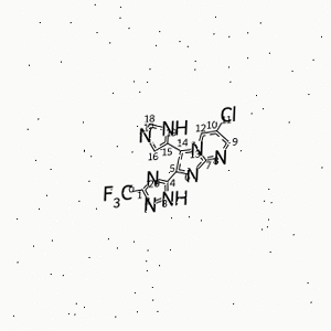 FC(F)(F)c1n[nH]c(-c2nc3ncc(Cl)cn3c2-c2cnc[nH]2)n1